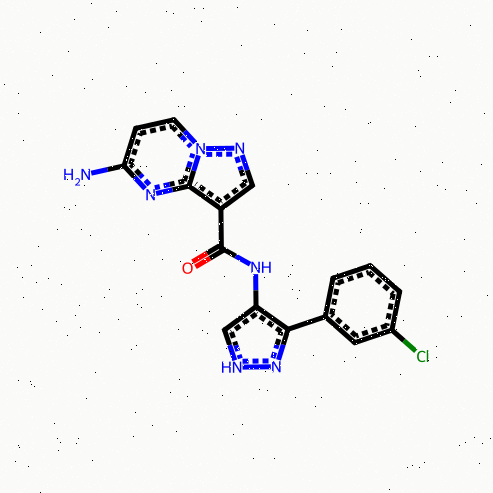 Nc1ccn2ncc(C(=O)Nc3c[nH]nc3-c3cccc(Cl)c3)c2n1